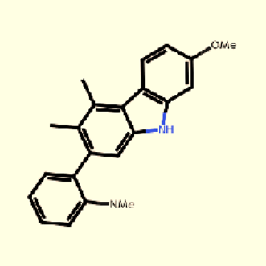 CNc1ccccc1-c1cc2[nH]c3cc(OC)ccc3c2c(C)c1C